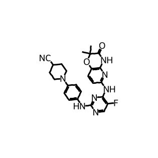 CC1(C)Oc2ccc(Nc3nc(Nc4ccc(N5CCC(C#N)CC5)cc4)ncc3F)nc2NC1=O